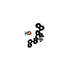 CC1=Cc2c(-c3cccc4ccccc34)cccc2[CH]1[Zr]([CH]1C(C)=Cc2c(-c3cccc4ccccc34)cccc21)=[Si](C)C.Cl.Cl